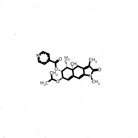 CC1=C2C[C@@]3(C)C(=C[C@@H](OC(C)C)[C@H](OC(=O)c4ccncc4)[C@@H]3C)C=C2N(C)C1=O